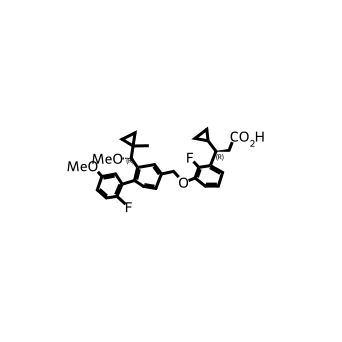 COc1ccc(F)c(-c2ccc(COc3cccc([C@H](CC(=O)O)C4CC4)c3F)cc2[C@H](OC)C2(C)CC2)c1